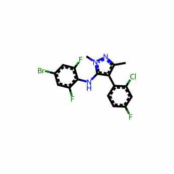 Cc1nn(C)c(Nc2c(F)cc(Br)cc2F)c1-c1ccc(F)cc1Cl